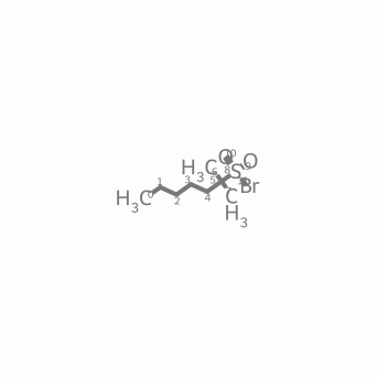 CCCCCC(C)(C)S(=O)(=O)Br